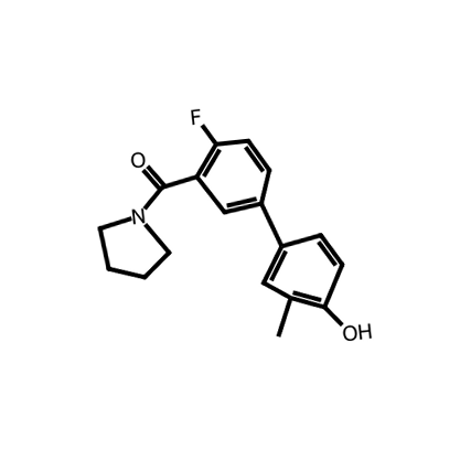 Cc1cc(-c2ccc(F)c(C(=O)N3CCCC3)c2)ccc1O